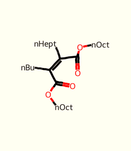 CCCCCCCCOC(=O)/C(CCCC)=C(/CCCCCCC)C(=O)OCCCCCCCC